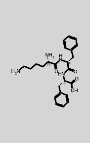 NCCCC[C@H](N)C(=O)N[C@@H](Cc1ccccc1)C(=O)N[C@@H](Cc1ccccc1)C(=O)O